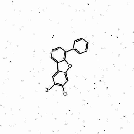 Clc1cc2oc3c(-c4ccccc4)cccc3c2cc1Br